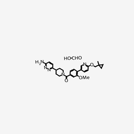 COc1cc(C(=O)N2CCC(c3ccc(N)nn3)CC2)ccc1-c1ccc(OCC2(C)CC2)nc1.O=CO